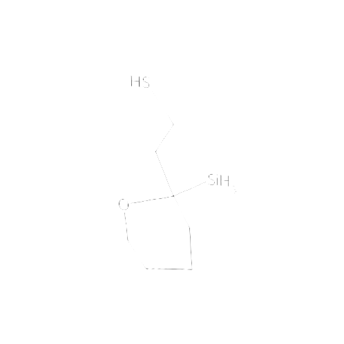 [SiH3]C1(CCS)CCCCO1